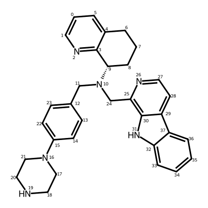 c1cnc2c(c1)CCC[C@@H]2N(Cc1ccc(N2CCNCC2)cc1)Cc1nccc2c1[nH]c1ccccc12